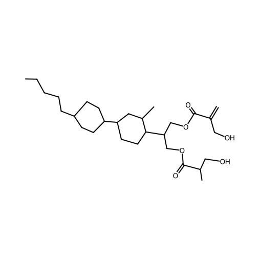 C=C(CO)C(=O)OCC(COC(=O)C(C)CO)C1CCC(C2CCC(CCCCC)CC2)CC1C